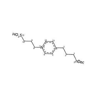 CCCCCCCCCCCCCc1cc[n+](CCCS(=O)(=O)O)cc1